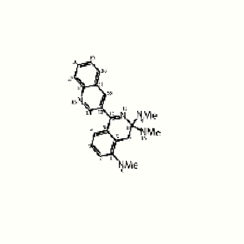 CNc1cccc2c1CC(NC)(NC)N=C2c1cnc2ccccc2c1